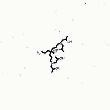 CC(O)CN(CCCC(N)(CCN)CCCN(CC(C)O)CC(C)O)CC(C)O